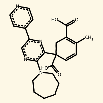 CC1=C(C(=O)O)CC(C(=O)O)(c2nc(-c3ccncc3)cnc2N2CCCCCC2)C=C1